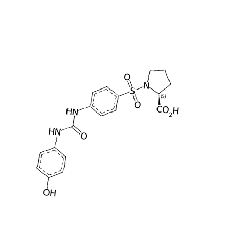 O=C(Nc1ccc(O)cc1)Nc1ccc(S(=O)(=O)N2CCC[C@H]2C(=O)O)cc1